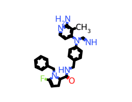 Cc1c(N(C=N)c2ccc(CNC(=O)C3CC=C(F)N3Cc3ccccc3)cc2)ccnc1N